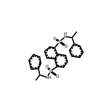 CC(NS(=O)(=O)c1cccc2c(S(=O)(=O)NC(C)c3ccccc3)cccc12)c1ccccc1